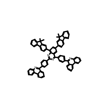 CC1(C)c2ccccc2-c2ccc(-c3cc(-c4ccc5c(c4)C(C)(C)c4ccccc4-5)c4nc(-c5ccc(-c6nc7ccccc7c7ccccc67)cc5)nc(-c5ccc(-c6nc7ccccc7c7ccccc67)cc5)c4c3)cc21